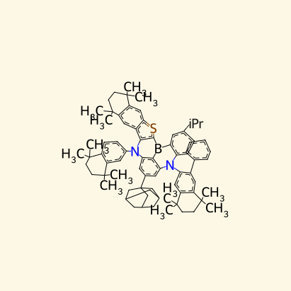 CC(C)c1ccc2c(c1)B1c3sc4cc5c(cc4c3N(c3ccc4c(c3)C(C)(C)CCC4(C)C)c3cc(C46CC7CC(CC(C7)C4)C6)cc(c31)N2c1cc2c(cc1-c1ccccc1)C(C)(C)CCC2(C)C)C(C)(C)CCC5(C)C